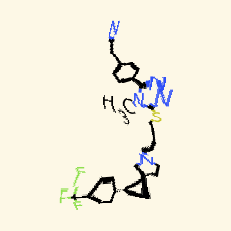 Cn1c(SCCCN2CC[C@]3(C[C@@H]3C3C=CC(C(F)(F)F)=CC3)C2)nnc1-c1ccc(CC#N)cc1